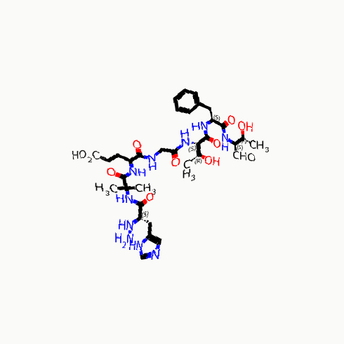 C[C@@H](O)[C@H](NC(=O)CNC(=O)C(CCC(=O)O)NC(=O)C(C)(C)NC(=O)[C@H](Cc1cnc[nH]1)NN)C(=O)N[C@@H](Cc1ccccc1)C(=O)N[C@H](C=O)[C@@H](C)O